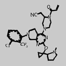 C=CC(=O)N1CCN(c2nc(OC3(C4CCCN4C)CC3)nc3c2CCN(c2cccc(Cl)c2C(F)(F)F)C3)CC1CC#N